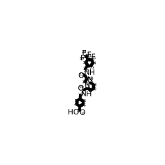 O=C(O)c1ccc(CNC(=O)c2cccc3nc(C(=O)NCc4ccc(F)c(C(F)(F)F)c4)cn23)cc1